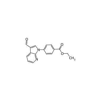 CCOC(=O)c1ccc(-n2cc(C=O)c3cccnc32)cc1